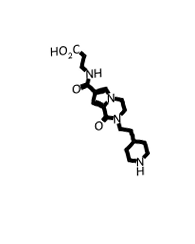 O=C(O)CCNC(=O)c1cc2n(c1)CCN(CCC1CCNCC1)C2=O